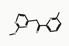 CSc1nccc(CC(=O)c2cccc(C)n2)n1